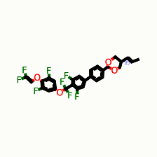 C/C=C/C1COC(c2ccc(-c3cc(F)c(C(F)(F)Oc4cc(F)c(OC=C(F)F)c(F)c4)c(F)c3)cc2)OC1